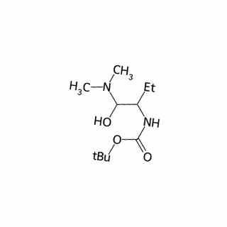 CCC(NC(=O)OC(C)(C)C)C(O)N(C)C